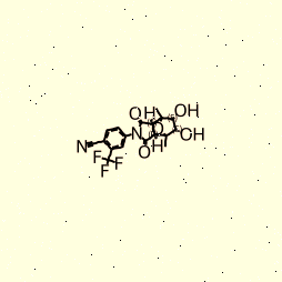 CC12OC(C)([C@@H](O)[C@@H]1O)[C@H]1C(=O)N(c3ccc(C#N)c(C(F)(F)F)c3)C(=O)[C@H]12